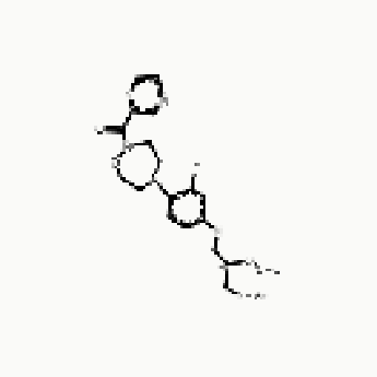 CC(=O)NC[C@@H](CNc1ccc(N2CCON(C(=O)c3cnccn3)CC2)c(F)c1)OC=O